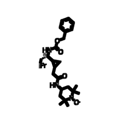 CC(C)C[C@H](NC(=O)OCc1ccccc1)C1CC1CC(=O)NC1CC(C)(C)N([O])C(C)(C)C1